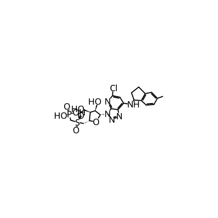 Cc1ccc2c(c1)CCC2Nc1cc(Cl)nc2c1nnn2[C@@H]1O[C@H](CS(=O)(=O)CP(=O)(O)O)[C@@H](O)[C@H]1O